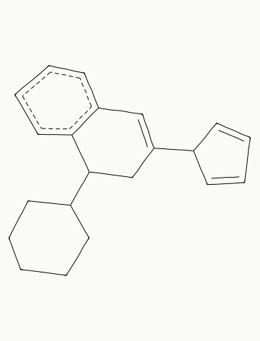 C1=CC(C2=Cc3ccccc3C(C3CCCCC3)C2)C=C1